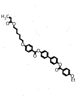 C=CC(=O)OCCCCCCOc1ccc(C(=O)Oc2ccc(-c3ccc(OC(=O)c4ccc(OCC)cc4)cc3)cc2)cc1